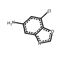 Nc1cc(Cl)c2ocnc2c1